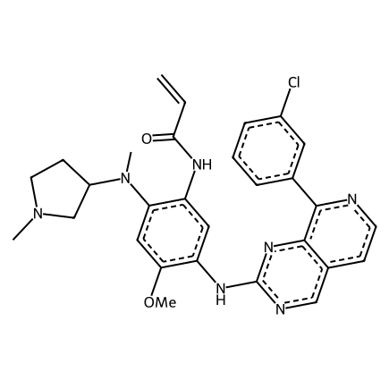 C=CC(=O)Nc1cc(Nc2ncc3ccnc(-c4cccc(Cl)c4)c3n2)c(OC)cc1N(C)C1CCN(C)C1